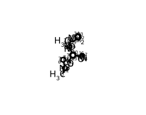 Cc1csc(C2CCCN2C(=O)c2cc(-c3ccno3)cc(-c3nnc(C(C)(N)Cc4ccccc4)o3)c2)n1